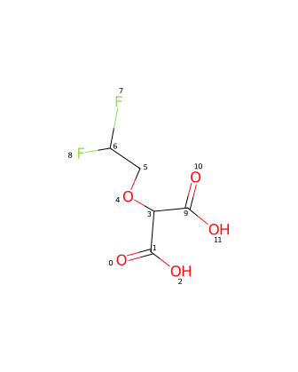 O=C(O)C(OCC(F)F)C(=O)O